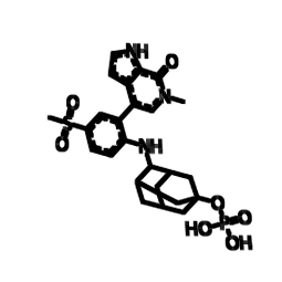 Cn1cc(-c2cc(S(C)(=O)=O)ccc2NC2C3CC4CC2CC(OP(=O)(O)O)(C4)C3)c2cc[nH]c2c1=O